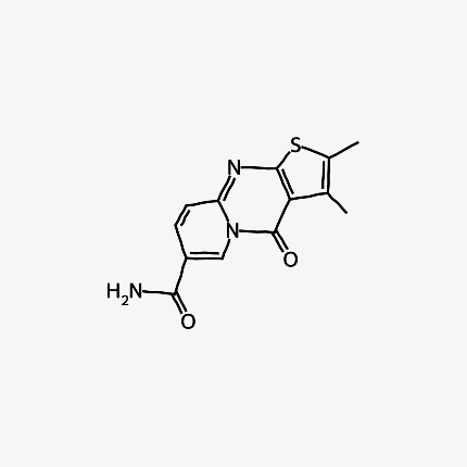 Cc1sc2nc3ccc(C(N)=O)cn3c(=O)c2c1C